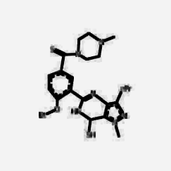 CCCc1nn(C)c2c1N=C(c1cc(C(=S)N3CCN(C)CC3)ccc1OCC)NC2S